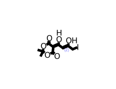 CC1(C)OC(=O)C(=C(O)/C=C(\O)CI)C(=O)O1